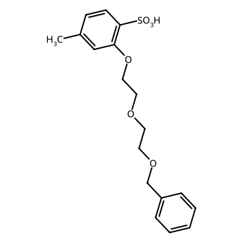 Cc1ccc(S(=O)(=O)O)c(OCCOCCOCc2ccccc2)c1